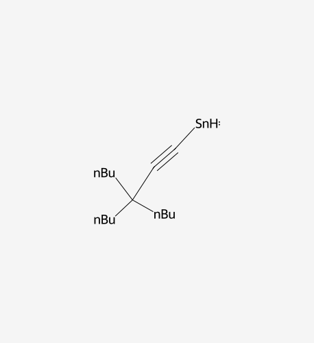 CCCCC(C#[C][SnH])(CCCC)CCCC